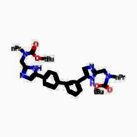 CCCN(Cc1ncc(-c2ccc(-c3cccc(-c4cnc(CN(CCC)C(=O)OC(C)(C)C)[nH]4)c3)cc2)[nH]1)C(=O)OC(C)(C)C